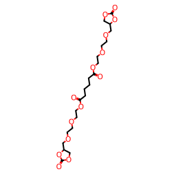 O=C(CCCCC(=O)OCCOCCOCC1COC(=O)O1)OCCOCCOCC1COC(=O)O1